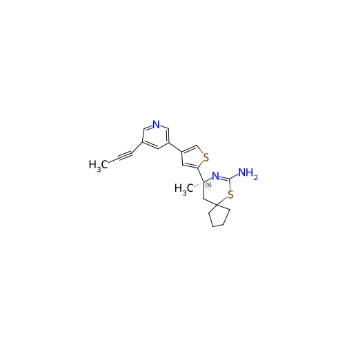 CC#Cc1cncc(-c2csc([C@]3(C)CC4(CCCC4)SC(N)=N3)c2)c1